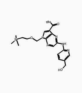 CC(C)(C)C(=O)c1cn(COCC[Si](C)(C)C)c2ncc(Nc3ccc(CO)cn3)nc12